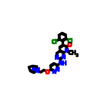 Cn1c(=O)c(-c2c(Cl)cccc2Cl)cc2cnc(Nc3ccc(OCCN4CC5CC(C4)N5)nn3)nc21